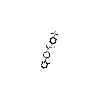 C[Si](C)(C)c1ccc(NC(=O)N2CCN(c3ncccc3Cl)CC2)cc1